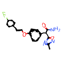 Cc1noc(C(C(N)=O)c2ccc(OCCc3ccc(F)cc3)cc2)n1